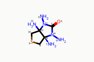 NN1C(=O)N(N)[C@]2(N)CSCC12N